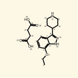 CCOc1cccc2c(C3CCNCC3)n[nH]c12.O=C(O)CCC(=O)O